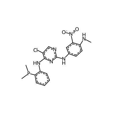 CNc1ccc(Nc2ncc(Cl)c(Nc3ccccc3P(C)C)n2)cc1[N+](=O)[O-]